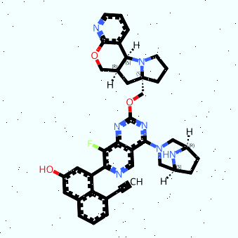 C#Cc1cccc2cc(O)cc(-c3ncc4c(N5C[C@H]6CC[C@@H](C5)N6)nc(OC[C@@]56CCCN5[C@@H]5c7cccnc7OC[C@@H]5C6)nc4c3F)c12